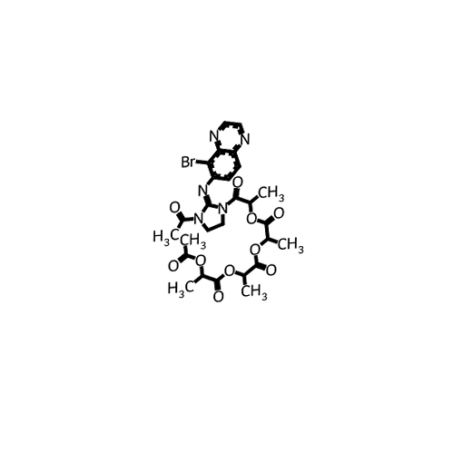 CC(=O)OC(C)C(=O)OC(C)C(=O)OC(C)C(=O)OC(C)C(=O)N1CCN(C(C)=O)/C1=N/c1ccc2nccnc2c1Br